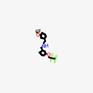 FC(F)C(F)(F)COc1cccc(CNCCc2cccc(OC(F)(F)F)c2)c1